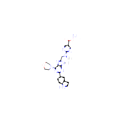 CCCN(Cc1nc2c(N3CCOCC3)nc(-c3ccc4[nH]ccc4c3)nc2n1C)c1ncc(C(=O)ON)cn1